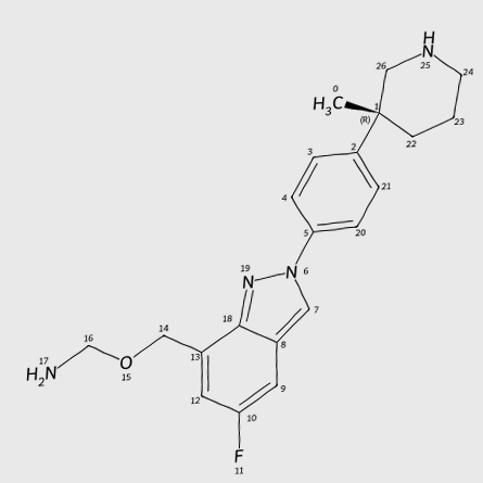 C[C@]1(c2ccc(-n3cc4cc(F)cc(COCN)c4n3)cc2)CCCNC1